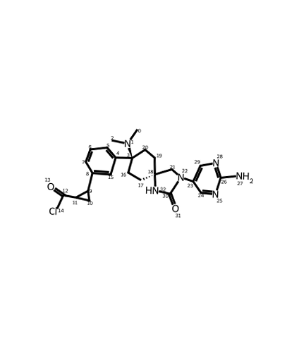 CN(C)[C@]1(c2cccc(C3CC3C(=O)Cl)c2)CC[C@]2(CC1)CN(c1cnc(N)nc1)C(=O)N2